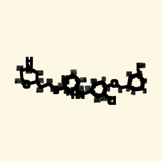 Fc1cccc(COc2ccc(Nc3ccnc(SCCC4CNCCO4)n3)cc2Cl)c1